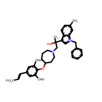 CCOC(=O)/C=C/c1cc(OC)c(OC2CCCN(CC(O)(c3cn(Cc4ccccc4)c4cc([N+](=O)[O-])ccc34)C(F)(F)F)CC2)c(OC)c1